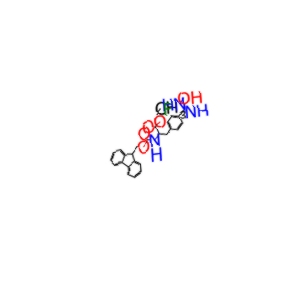 CCOC(=O)C(Cc1ccc(C(=N)NO)c(F)c1)NC(=O)OCC1c2ccccc2-c2ccccc21